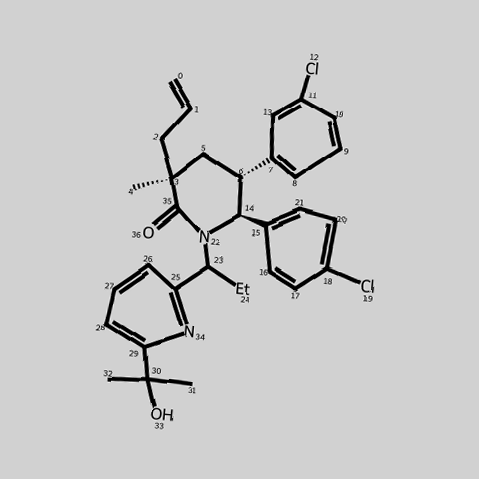 C=CC[C@@]1(C)C[C@H](c2cccc(Cl)c2)[C@@H](c2ccc(Cl)cc2)N(C(CC)c2cccc(C(C)(C)O)n2)C1=O